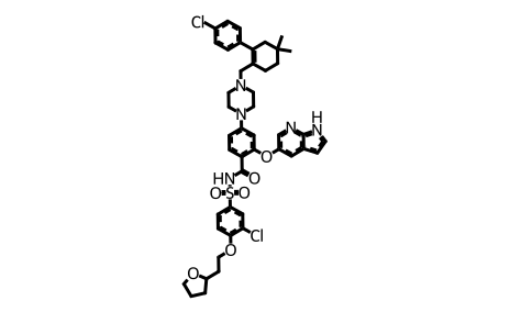 CC1(C)CCC(CN2CCN(c3ccc(C(=O)NS(=O)(=O)c4ccc(OCCC5CCCO5)c(Cl)c4)c(Oc4cnc5[nH]ccc5c4)c3)CC2)=C(c2ccc(Cl)cc2)C1